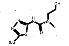 CN(CCO)C(=O)Nc1nnc(C(C)(C)C)s1